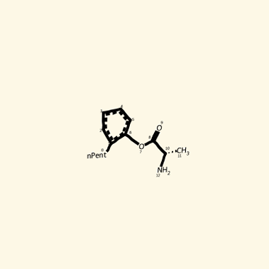 CCCCCc1ccccc1OC(=O)[C@H](C)N